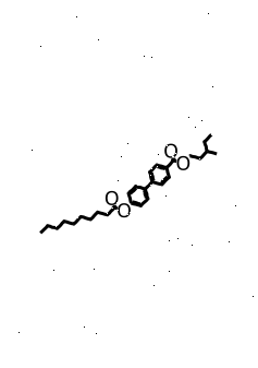 CCCCCCCCCC(=O)Oc1ccc(-c2ccc(C(=O)OCCC(C)CC)cc2)cc1